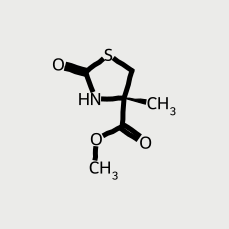 COC(=O)[C@@]1(C)CSC(=O)N1